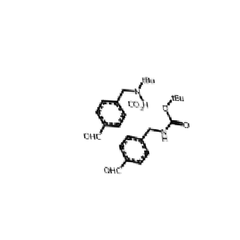 CC(C)(C)N(Cc1ccc(C=O)cc1)C(=O)O.CC(C)(C)OC(=O)NCc1ccc(C=O)cc1